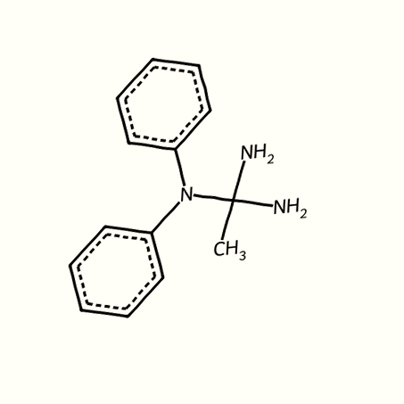 CC(N)(N)N(c1ccccc1)c1ccccc1